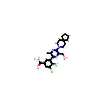 Cc1nc(N2CCC3(CCCC3)CC2)c(CO)nc1-c1cc(C(N)=O)cc(Cl)c1Cl